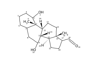 C[C@]12C(O)CCCC1CC(O)[C@@H]1[C@H]2CC[C@]2(C)C(C=O)CC[C@@H]12